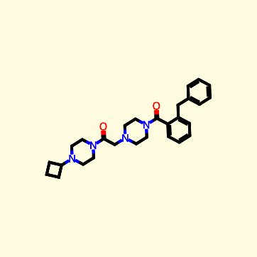 O=C(CN1CCN(C(=O)c2ccccc2Cc2ccccc2)CC1)N1CCN(C2CCC2)CC1